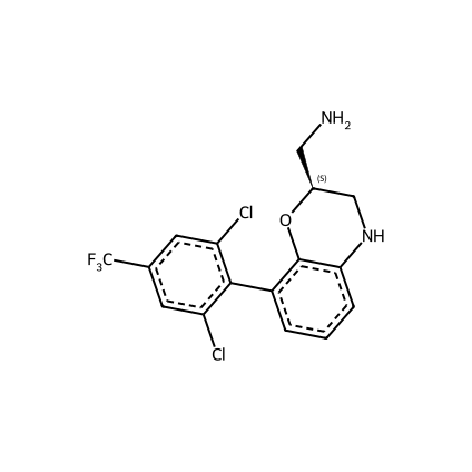 NC[C@H]1CNc2cccc(-c3c(Cl)cc(C(F)(F)F)cc3Cl)c2O1